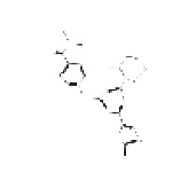 C[C@H]1COCCN1c1nc(Oc2ccc(C(=O)N(C)C)cc2)nc(-c2cnc(N)s2)n1